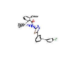 COc1cccc(OC)c1C(=O)Nc1nnc(-c2cccc(-c3ccc(Cl)cc3)c2)s1